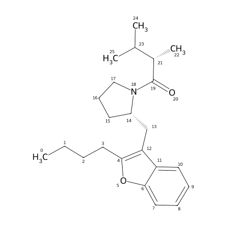 CCCCc1oc2ccccc2c1C[C@@H]1CCCN1C(=O)[C@@H](C)C(C)C